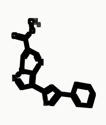 COC(=O)c1cnc2c(-c3cc(-c4ccccc4)cs3)cnn2c1